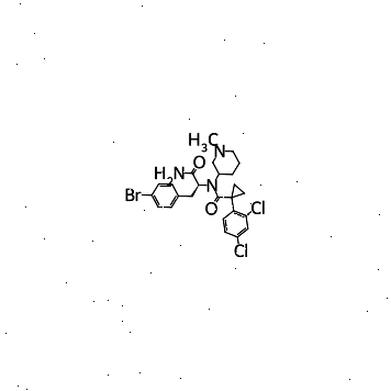 CN1CCCC(N(C(=O)C2(c3ccc(Cl)cc3Cl)CC2)[C@@H](Cc2ccc(Br)cc2)C(N)=O)C1